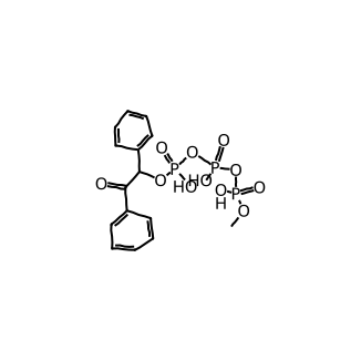 COP(=O)(O)OP(=O)(O)OP(=O)(O)OC(C(=O)c1ccccc1)c1ccccc1